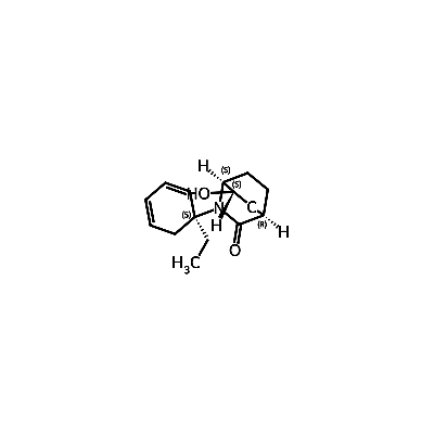 CC[C@@]1(N2C(=O)[C@@H]3CC[C@H]2[C@@H](O)C3)C=CC=CC1